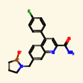 NC(=O)c1cc(-c2ccc(F)cc2)c2ccc(CN3CCC[S+]3[O-])cc2n1